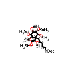 CCCCCCCCCCCCCCCC1(C(O[SiH3])=C(O[SiH3])O[SiH3])C(C)=C(O[SiH3])C(O[SiH3])=C(O[SiH3])C1O[SiH3]